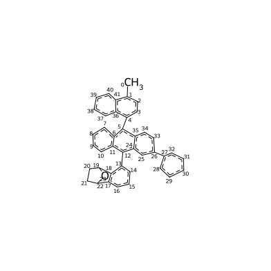 Cc1ccc(-c2c3ccccc3c(-c3cccc4c3C3CCC4O3)c3cc(-c4ccccc4)ccc23)c2ccccc12